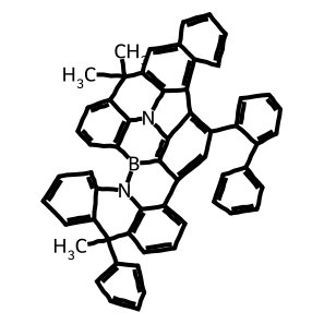 CC1(C)c2cccc3c2-n2c4c5c(cc(-c6ccccc6-c6ccccc6)c4c4c6ccccc6cc1c42)-c1cccc2c1N(B35)c1ccccc1C2(C)c1ccccc1